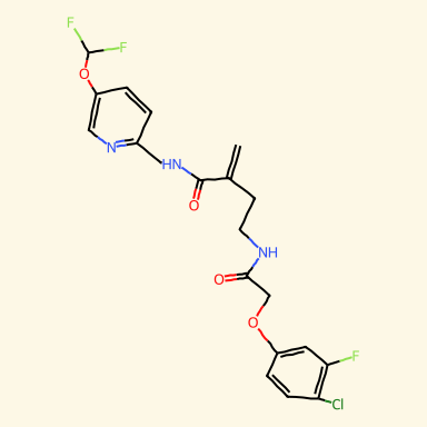 C=C(CCNC(=O)COc1ccc(Cl)c(F)c1)C(=O)NCc1ccc(OC(F)F)cn1